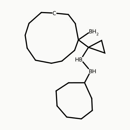 BC1(C2(BBC3CCCCCCC3)CC2)CCCCCCCCCCC1